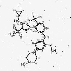 CCc1cc(N2CCN(C)CC2)ccc1Nc1ncc(C(F)(F)F)c(-c2cc(S(C)(=O)=O)c(NC3CC3)s2)n1